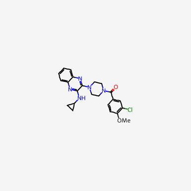 COc1ccc(C(=O)N2CCN(c3nc4ccccc4nc3NC3CC3)CC2)cc1Cl